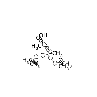 CCOC(COc1ccc(OCC(=O)O)c(C)c1)=C(c1ccc(-c2cccc(C(=O)N(C)C)c2)cc1)c1ccc(-c2cccc(C(=O)N(C)C)c2)cc1